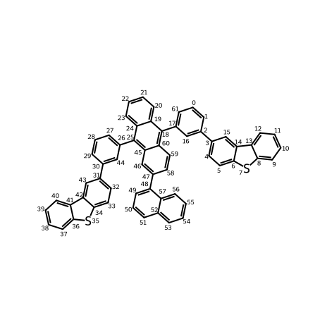 c1cc(-c2ccc3sc4ccccc4c3c2)cc(-c2c3ccccc3c(-c3cccc(-c4ccc5sc6ccccc6c5c4)c3)c3cc(-c4cccc5ccccc45)ccc23)c1